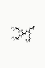 C=NCC(CCCN)CCC(CCCN)CCCN